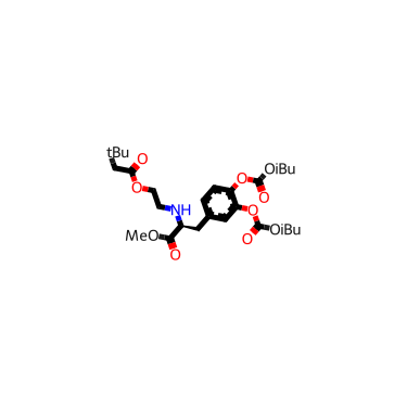 COC(=O)[C@H](Cc1ccc(OC(=O)OCC(C)C)c(OC(=O)OCC(C)C)c1)NCCOC(=O)CC(C)(C)C